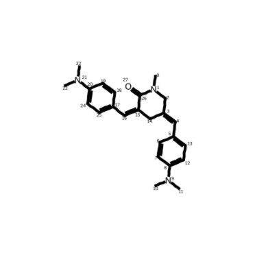 CN1CC(=Cc2ccc(N(C)C)cc2)CC(=Cc2ccc(N(C)C)cc2)C1=O